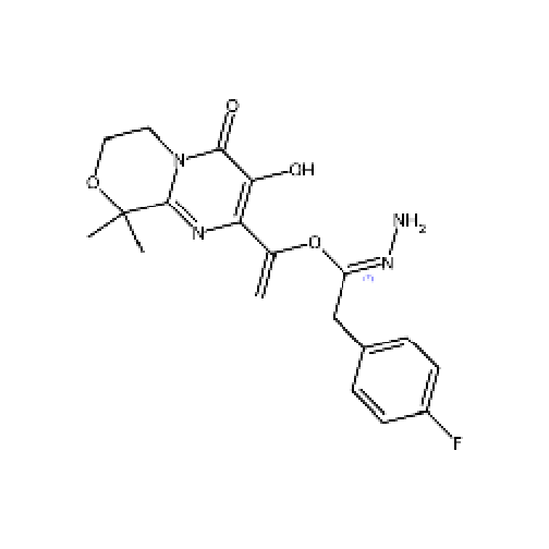 C=C(O/C(Cc1ccc(F)cc1)=N\N)c1nc2n(c(=O)c1O)CCOC2(C)C